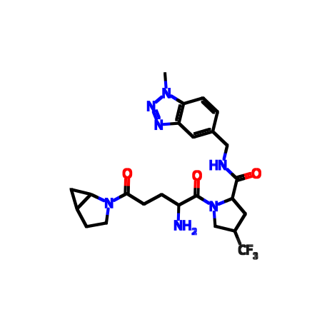 Cn1nnc2cc(CNC(=O)C3CC(C(F)(F)F)CN3C(=O)C(N)CCC(=O)N3CCC4CC43)ccc21